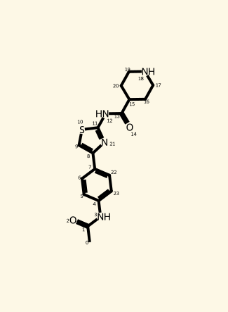 CC(=O)Nc1ccc(-c2csc(NC(=O)C3CCNCC3)n2)cc1